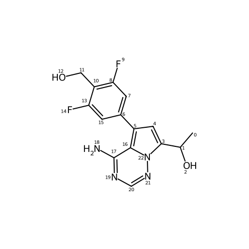 CC(O)c1cc(-c2cc(F)c(CO)c(F)c2)c2c(N)ncnn12